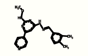 CONc1nc(NN=Cc2ccc(C)c(C)c2)cc(-c2ccncc2)n1